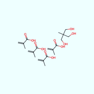 C=C(C)C(=O)O.C=C(C)C(=O)O.C=C(C)C(=O)O.C=C(C)C(=O)O.CC(CO)(CO)CO